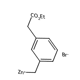 CCOC(=O)Cc1cccc([CH2][Zn+])c1.[Br-]